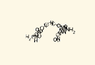 C=C1CCC(n2ccc3cc(N4CCC(CN5CCC(c6ccc(Nc7nc(N8CCC[C@H](N9CCCC9=O)C8)cnc7C(N)=O)cc6)CC5)CC4)ccc3c2=O)C(=O)N1